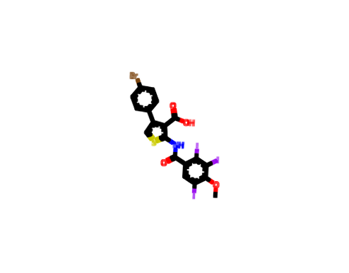 COc1c(I)cc(C(=O)Nc2scc(-c3ccc(Br)cc3)c2C(=O)O)c(I)c1I